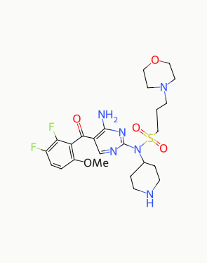 COc1ccc(F)c(F)c1C(=O)c1cnc(N(C2CCNCC2)S(=O)(=O)CCCN2CCOCC2)nc1N